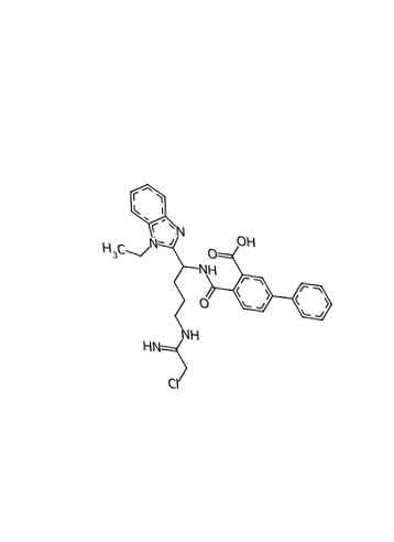 CCn1c(C(CCCNC(=N)CCl)NC(=O)c2ccc(-c3ccccc3)cc2C(=O)O)nc2ccccc21